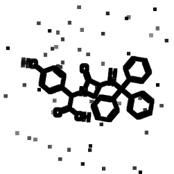 O=C(O)C(c1ccc(O)cc1)N1CC(NC(c2ccccc2)(c2ccccc2)c2ccccc2)C1=O